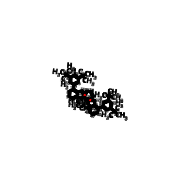 CC(C)(C)c1cc(-c2cccc3c2C=C[CH]3[Hf]([CH3])([CH3])([CH3])(=[SiH2])([c]2ccccc2)[CH]2C=Cc3c(-c4cc(C(C)(C)C)cc(C(C)(C)C)c4)cccc32)cc(C(C)(C)C)c1